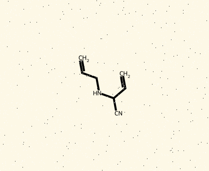 C=CCNC(C#N)C=C